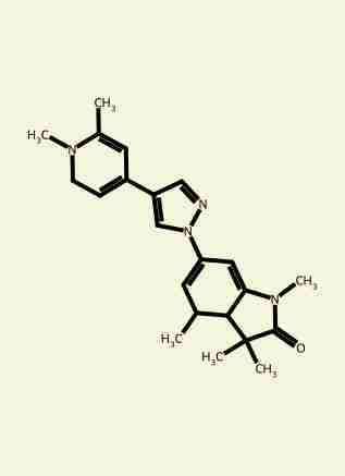 CC1=CC(c2cnn(C3=CC(C)C4C(=C3)N(C)C(=O)C4(C)C)c2)=CCN1C